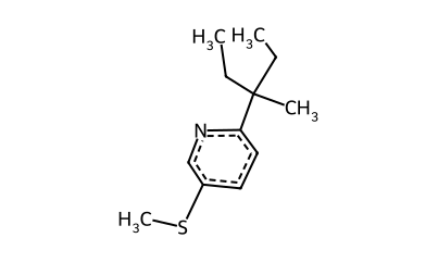 CCC(C)(CC)c1ccc(SC)cn1